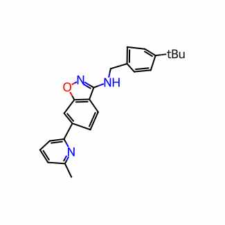 Cc1cccc(-c2ccc3c(NCc4ccc(C(C)(C)C)cc4)noc3c2)n1